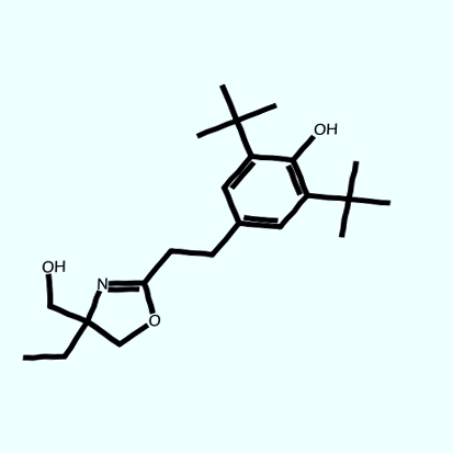 CCC1(CO)COC(CCc2cc(C(C)(C)C)c(O)c(C(C)(C)C)c2)=N1